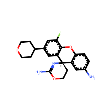 NC1=N[C@@]2(CCO1)c1cc(N)ccc1Oc1c(F)cc(C3CCOCC3)cc12